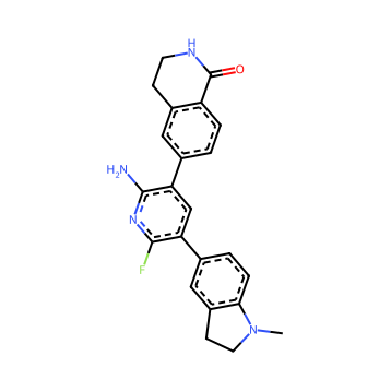 CN1CCc2cc(-c3cc(-c4ccc5c(c4)CCNC5=O)c(N)nc3F)ccc21